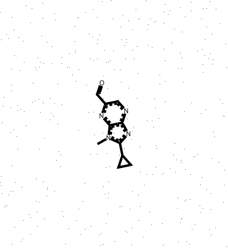 Cn1c(C2CC2)nc2ncc(C=O)nc21